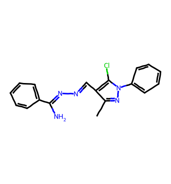 Cc1nn(-c2ccccc2)c(Cl)c1/C=N/N=C(N)c1ccccc1